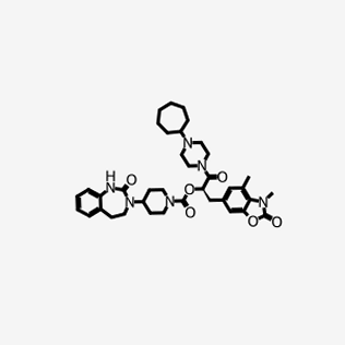 Cc1cc(C[C@@H](OC(=O)N2CCC(N3CCc4ccccc4NC3=O)CC2)C(=O)N2CCN(C3CCCCCC3)CC2)cc2oc(=O)n(C)c12